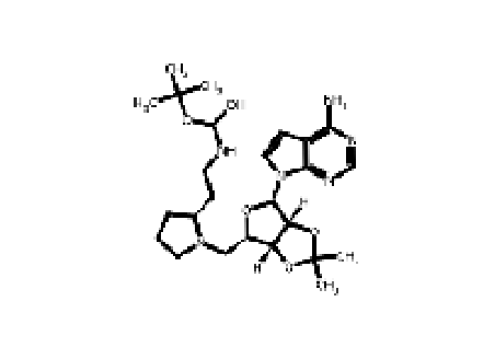 CC(C)(C)OC(O)NCC[C@@H]1CCCN1C[C@H]1O[C@@H](n2ccc3c(N)ncnc32)[C@@H]2OC(C)(C)O[C@@H]21